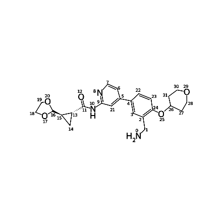 NCc1cc(-c2ccnc(NC(=O)[C@@H]3C[C@H]3C3OCCO3)c2)ccc1OC1CCOCC1